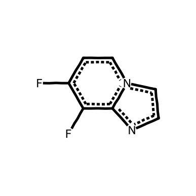 Fc1ccn2ccnc2c1F